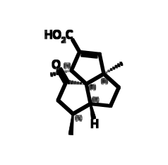 C[C@@H]1C(C(=O)O)=C[C@@]2(C)CC[C@@H]3[C@@H](C)CC(=O)[C@@]132